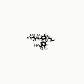 CCCc1nc2c(C)cc(CNC(=O)C(S)CCC)cc2n1Cc1ccc(C(=O)O)c(Br)c1